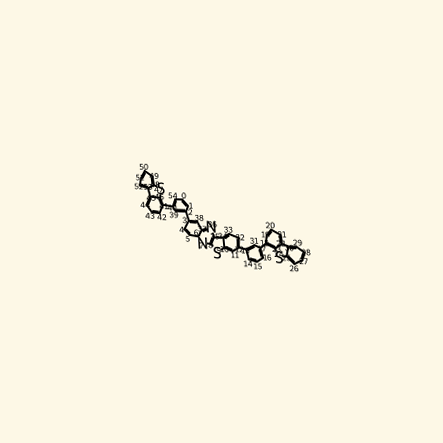 c1cc(-c2ccc3nc4sc5cc(-c6cccc(-c7cccc8c7sc7ccccc78)c6)ccc5c4nc3c2)cc(-c2cccc3c2sc2ccccc23)c1